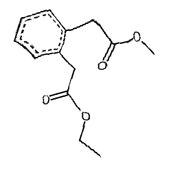 CCOC(=O)Cc1ccccc1CC(=O)OC